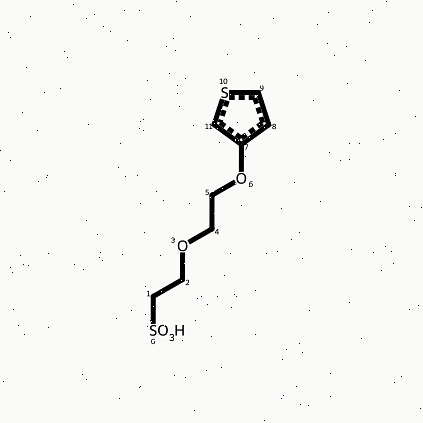 O=S(=O)(O)CCOCCOc1ccsc1